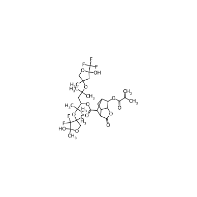 C=C(C)C(=O)OC1C2CC3C1OC(=O)C3C2C(=O)OC(CC(C)(C)OC1(C)COC(O)(C(F)(F)F)C1)C(C)(C)OC1(C)COC(C)(O)C1(F)F